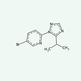 CC(C)c1ncnn1-c1ccc(Br)cn1